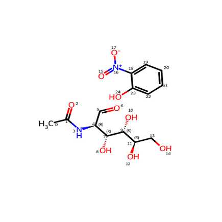 CC(=O)N[C@@H](C=O)[C@@H](O)[C@H](O)[C@H](O)CO.O=[N+]([O-])c1ccccc1O